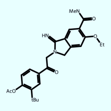 CCOc1cc2c(cc1C(=O)NC)C(=N)N(CC(=O)c1ccc(OC(C)=O)c(C(C)(C)C)c1)C2